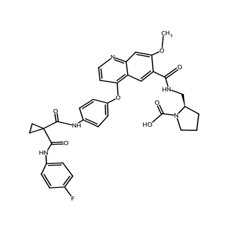 COc1cc2nccc(Oc3ccc(NC(=O)C4(C(=O)Nc5ccc(F)cc5)CC4)cc3)c2cc1C(=O)NC[C@H]1CCCN1C(=O)O